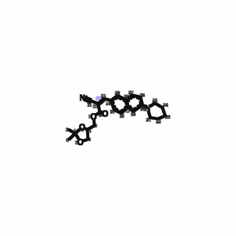 CC1(C)OCC(COC(=O)/C(C#N)=C\c2ccc3cc(N4CCCCC4)ccc3c2)O1